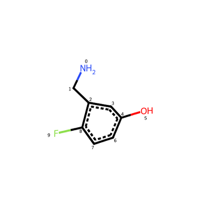 NCc1cc(O)ccc1F